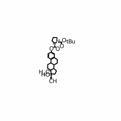 C#C[C@]1(O)CCC2C3CCc4cc(OC(=O)[C@H]5CCCN5C(=O)OC(C)(C)C)ccc4C3CC[C@@]21C